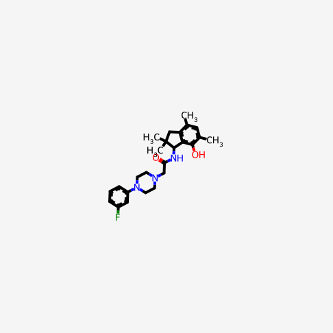 Cc1cc(C)c2c(c1O)C(NC(=O)CN1CCN(c3cccc(F)c3)CC1)C(C)(C)C2